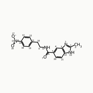 Cc1nc2cc(C(=O)NCCc3ccc([N+](=O)[O-])cc3)ccc2[nH]1